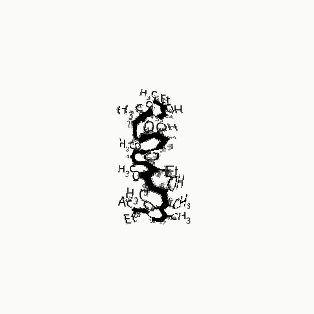 CC[C@@H](C(=O)[C@@H](C)[C@@H](O)[C@H](C)[C@@H]1O[C@@H]([C@@H](CC)C(C)=O)CC[C@@H]1C)[C@H]1O[C@]2(CC[C@@H](O)[C@]3(CC[C@@](C)([C@H]4CC[C@](O)(CC)[C@H](C)O4)O3)O2)[C@H](C)C[C@@H]1C